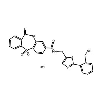 Cl.NCc1ccccc1-c1ncc(CNC(=O)c2ccc3c(c2)NC(=O)c2ccccc2S3(=O)=O)s1